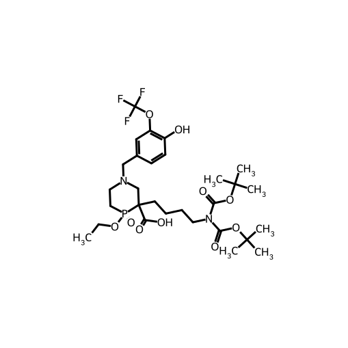 CCOP1(=O)CCN(Cc2ccc(O)c(OC(F)(F)F)c2)CC1(CCCCN(C(=O)OC(C)(C)C)C(=O)OC(C)(C)C)C(=O)O